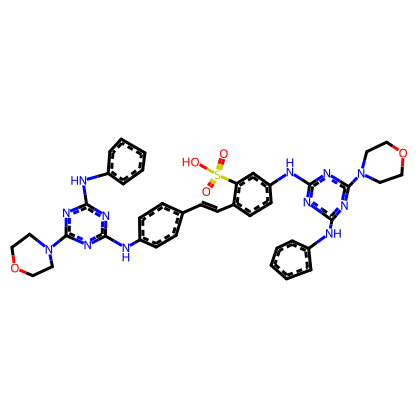 O=S(=O)(O)c1cc(Nc2nc(Nc3ccccc3)nc(N3CCOCC3)n2)ccc1C=Cc1ccc(Nc2nc(Nc3ccccc3)nc(N3CCOCC3)n2)cc1